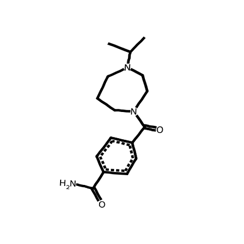 CC(C)N1CCCN(C(=O)c2ccc(C(N)=O)cc2)CC1